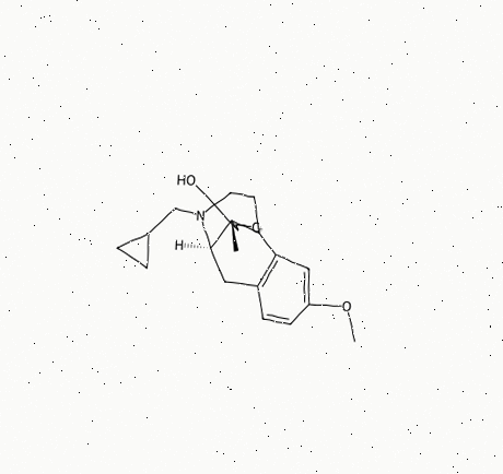 COc1ccc2c(c1)[C@@]13CCCC(O)[C@@]1(C)[C@@H](C2)N(CC1CC1)CC3